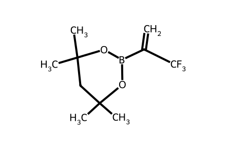 C=C(B1OC(C)(C)CC(C)(C)O1)C(F)(F)F